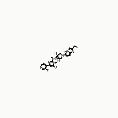 CCc1cn2nc(N3C[C@@H]4[C@H](C3)[C@@H]4N(C)c3nc(-c4ccncc4F)cc(=O)n3C)ccc2n1